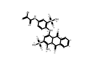 C=C(Br)C(=O)Nc1ccc(NC2=CC(S(=O)(=O)O)=C(N)C3C(=O)c4ccccc4C(=O)C23)c(S(=O)(=O)O)c1